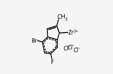 CC1=Cc2c(Br)cc(F)cc2[CH]1[Zr+3].[Cl-].[Cl-].[Cl-]